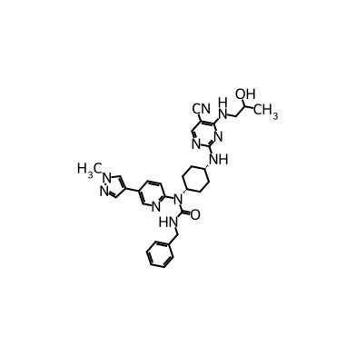 CC(O)CNc1nc(N[C@H]2CC[C@@H](N(C(=O)NCc3ccccc3)c3ccc(-c4cnn(C)c4)cn3)CC2)ncc1C#N